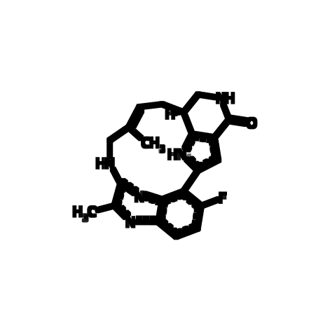 C/C1=C\C[C@H]2CNC(=O)c3cc([nH]c32)-c2c(F)ccc3nc(C)c(nc23)NC1